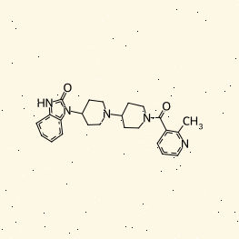 Cc1ncccc1C(=O)N1CCC(N2CCC(n3c(=O)[nH]c4ccccc43)CC2)CC1